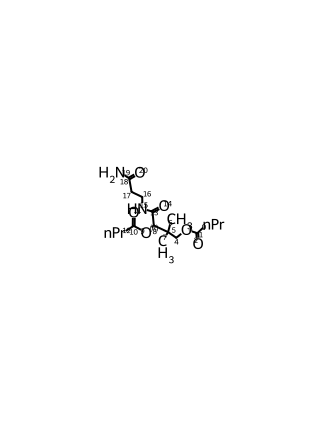 CCCC(=O)OCC(C)(C)[C@@H](OC(=O)CCC)C(=O)NCCC(N)=O